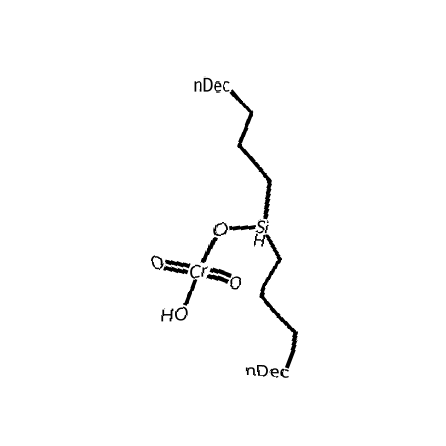 CCCCCCCCCCCCC[SiH](CCCCCCCCCCCCC)[O][Cr](=[O])(=[O])[OH]